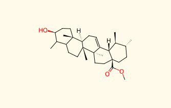 COC(=O)[C@]12CC[C@@H](C)[C@H](C)[C@H]1C1=CC[C@@H]3[C@@]4(C)CC[C@H](O)C(C)C4CC[C@@]3(C)[C@]1(C)CC2